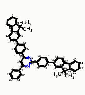 CC1(C)c2ccccc2-c2ccc(-c3ccc(-c4cc(-c5ccccc5)nc(-c5ccc(-c6ccc7c(c6)C(C)(C)c6ccccc6-7)cc5)n4)cc3)cc21